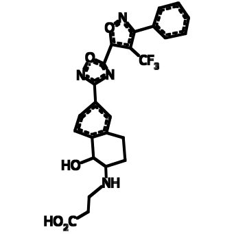 O=C(O)CCNC1CCc2cc(-c3noc(-c4onc(-c5ccccc5)c4C(F)(F)F)n3)ccc2C1O